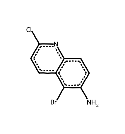 Nc1ccc2nc(Cl)ccc2c1Br